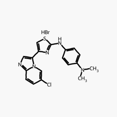 Br.CN(C)c1ccc(Nc2nc(-c3cnc4ccc(Cl)cn34)cs2)cc1